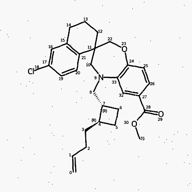 C=CCC[C@@H]1CC[C@H]1CN1CC2(CCCc3cc(Cl)ccc32)COc2ccc(C(=O)OC)cc21